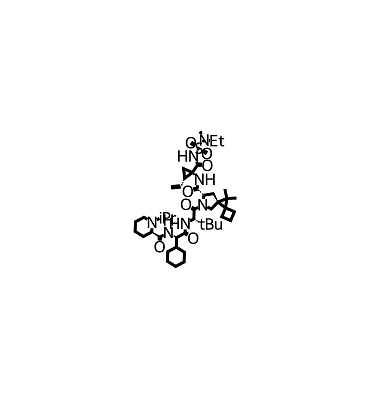 C=C[C@@H]1C[C@]1(NC(=O)[C@@H]1C[C@@]2(CN1C(=O)[C@@H](NC(=O)[C@@H](NC(=O)[C@H]1CCCCN1C(C)C)C1CCCCC1)C(C)(C)C)C(C)(C)C21CCC1)C(=O)NS(=O)(=O)N(C)CC